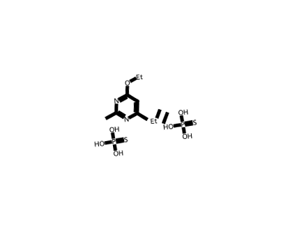 CC.CCC.CCOc1cc(C)nc(C)n1.OP(O)(O)=S.OP(O)(O)=S